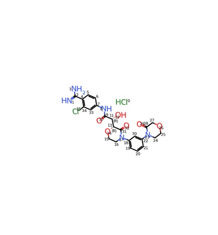 Cl.N=C(N)c1ccc(NC(=O)[C@H](O)[C@H]2OCCN(c3cccc(N4CCOCC4=O)c3)C2=O)cc1Cl